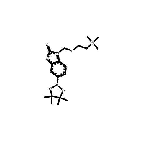 CC1(C)OB(c2ccc3c(c2)sc(=O)n3COCC[Si](C)(C)C)OC1(C)C